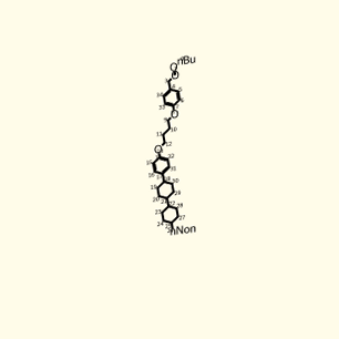 [CH2+][CH-]CCOOCc1ccc(OCCCCOc2ccc(C3CCC(C4CCC(CCCCCCCCC)CC4)CC3)cc2)cc1